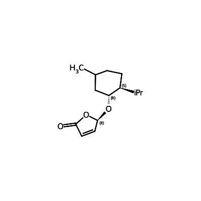 CC1CC[C@@H](C(C)C)[C@H](O[C@H]2C=CC(=O)O2)C1